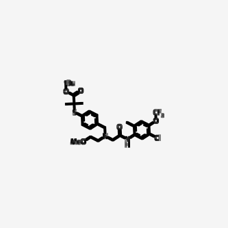 COCCN(CC(=O)Nc1cc(Cl)c(OC(F)(F)F)cc1C)Cc1ccc(SC(C)(C)C(=O)OC(C)(C)C)cc1